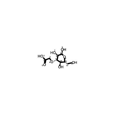 O=C(O)CO[C@@H]1[C@@H](O)[C@@H](O)O[C@H](CO)[C@H]1O